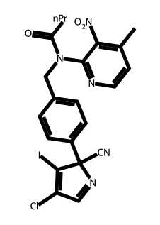 CCCC(=O)N(Cc1ccc(C2(C#N)N=CC(Cl)=C2I)cc1)c1nccc(C)c1[N+](=O)[O-]